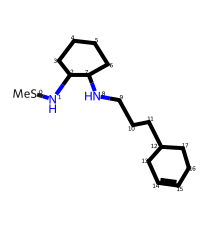 CSNC1CCCCC1NCCCC1CC=CCC1